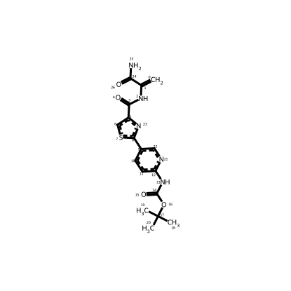 C=C(NC(=O)c1csc(-c2ccc(NC(=O)OC(C)(C)C)nc2)n1)C(N)=O